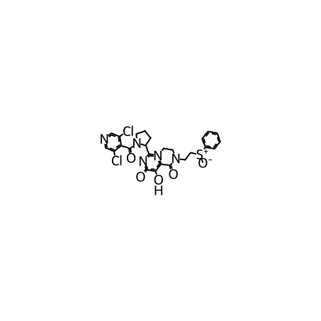 O=C1c2c(O)c(=O)nc(C3CCCN3C(=O)c3c(Cl)cncc3Cl)n2CCN1CC[S+]([O-])c1ccccc1